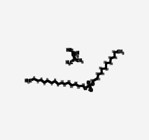 Br.CCCCCCCCCCCCCCCCOS(=O)(=O)OCCCCCCCCCCCC.CN(C)C.[NaH]